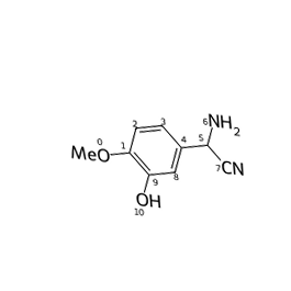 COc1ccc(C(N)C#N)cc1O